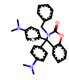 CN(C)c1ccc(C2(c3ccc(N(C)C)cc3)c3ccccc3OC(=O)N2Cc2ccccc2)cc1